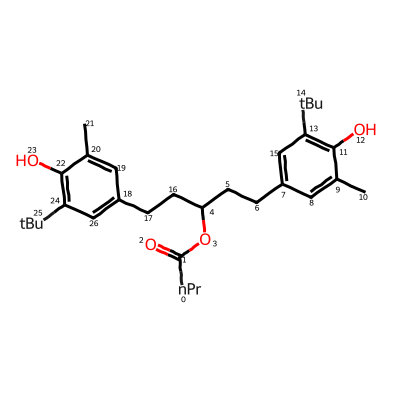 CCCC(=O)OC(CCc1cc(C)c(O)c(C(C)(C)C)c1)CCc1cc(C)c(O)c(C(C)(C)C)c1